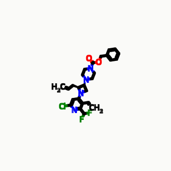 C=CC[C@H]1[C@H](N2CCN(C(=O)OCc3ccccc3)CC2)CN1c1cc(Cl)nc(C(F)F)c1C=C